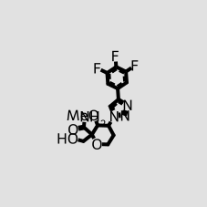 COC1C(n2cc(-c3cc(F)c(F)c(F)c3)nn2)CCOC1(CO)C(N)=O